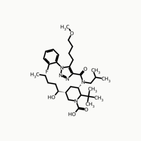 CCCCC(O)[C@@H]1C[C@H](N(CC(C)C)C(=O)c2nnn(-c3ccccc3F)c2CCCCOC)C(C(C)(C)C)N(C(=O)O)C1